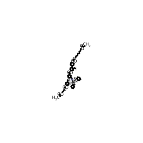 C=CC(=O)OCCCCCCCCOC(=O)Oc1ccc(-c2ccc(OC(=O)c3ccc(OCc4ccc(OC(=O)OCCCOC(=O)C=C)cc4)c(/C=N/N(c4nc5ccccc5s4)c4nc5ccccc5s4)c3)cc2CI)cc1